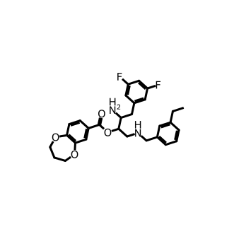 CCc1cccc(CNCC(OC(=O)c2ccc3c(c2)OCCCO3)C(N)Cc2cc(F)cc(F)c2)c1